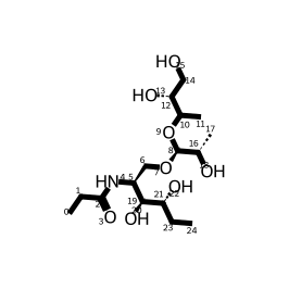 CCC(=O)N[C@@H](CO[C@@H](OC(C)[C@H](O)CO)[C@H](C)O)[C@H](O)[C@H](O)CC